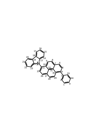 c1ccc(-c2ccc3ccc4c(-n5c6ccccc6c6ccccc65)ccc5ccc2c3c54)cc1